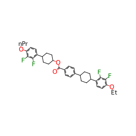 CCCOc1ccc(C2CCC(OC(=O)c3ccc(C4CCC(c5ccc(OCC)c(F)c5F)CC4)cc3)CC2)c(F)c1F